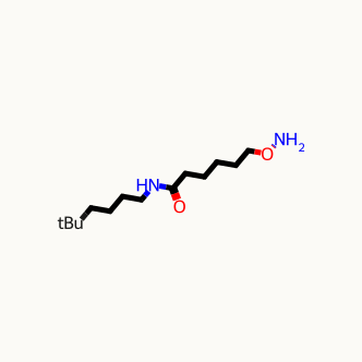 CC(C)(C)CCCCNC(=O)CCCCCON